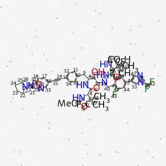 COC(=O)NC(C(=O)NC(Cc1ccc(C#Cc2ccc(N3CC4CCC(C3)N4C3COC3)nc2)cc1)C(O)CN(Cc1c(F)cc(-c2cnn(C(F)F)c2)cc1F)NC(=O)C(NC(=O)O)C(C)(C)C(F)(F)F)C(C)(C)C(F)(F)F